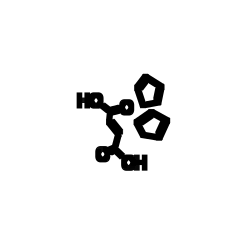 C1=CCC=C1.C1=CCC=C1.O=C(O)C=CC(=O)O